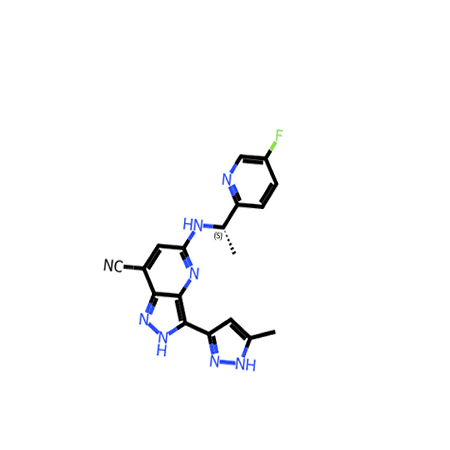 Cc1cc(-c2[nH]nc3c(C#N)cc(N[C@@H](C)c4ccc(F)cn4)nc23)n[nH]1